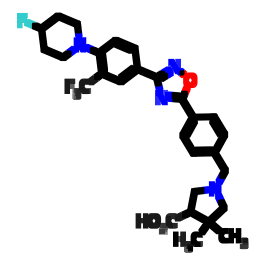 CC1(C)CN(Cc2ccc(-c3nc(-c4ccc(N5CCC(F)CC5)c(C(F)(F)F)c4)no3)cc2)CC1C(=O)O